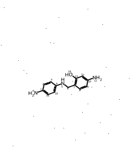 Nc1ccc(NCc2ccc(N)cc2O)cc1